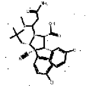 CSC(CC(N)=O)N1[C@@H](CC(C)(C)C)[C@](C#N)(c2ccc(Cl)cc2)[C@@H](c2cccc(Cl)c2)[C@@H]1C(=O)O